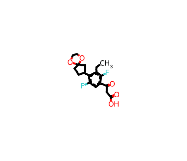 CCc1c(F)c(C(=O)CC(=O)O)cc(F)c1C1CCC2(C1)OCCO2